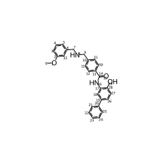 COc1cccc(CNCc2ccc(C(=O)Nc3cc(-c4ccccc4)ccc3O)cc2)c1